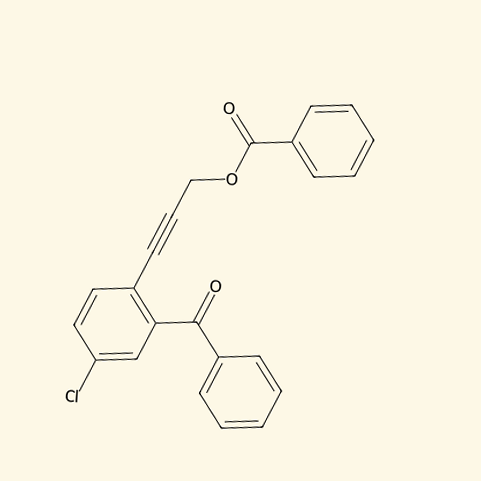 O=C(OCC#Cc1ccc(Cl)cc1C(=O)c1ccccc1)c1ccccc1